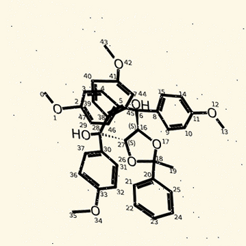 COc1ccc(C(O)(c2ccc(OC)cc2)[C@H]2OC(C)(c3ccccc3)O[C@@H]2C(O)(c2ccc(OC)cc2)c2ccc(OC)cc2)cc1